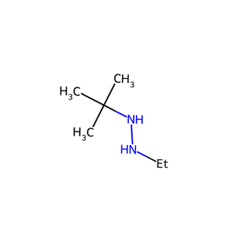 CCNNC(C)(C)C